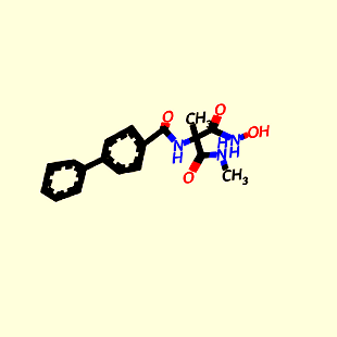 CNC(=O)C(C)(NC(=O)c1ccc(-c2ccccc2)cc1)C(=O)NO